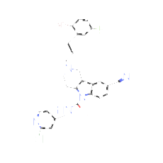 N#Cc1ccc2c(c1)c1c(n2C(=O)NCc2ccnc(Cl)c2)CCN(CC=Cc2cc(F)ccc2Br)C1